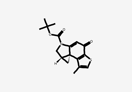 Cc1csc2c1[C@@]13C[C@@H]1CN(C(=O)OC(C)(C)C)C3=CC2=O